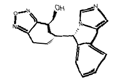 O[C@@H]1c2nonc2CC[C@H]1[C@H]1c2ccccc2-c2cncn21